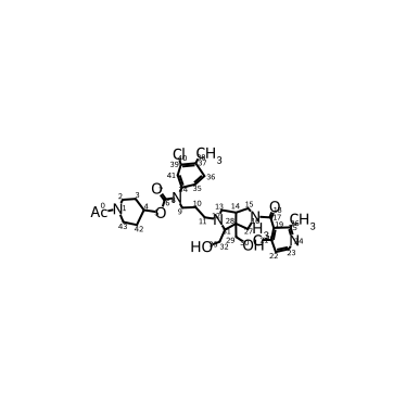 CC(=O)N1CCC(OC(=O)N(CCCN2CC3CN(C(=O)c4c(C)ccnc4C)CC3(CO)C2CO)c2ccc(C)c(Cl)c2)CC1